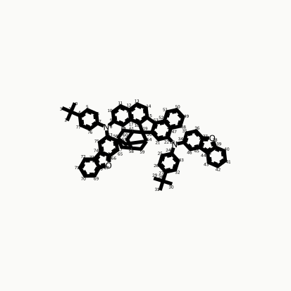 CC(C)(C)c1ccc(N(c2ccc3ccc4c(c3c2)C2(c3cc(N(c5ccc(C(C)(C)C)cc5)c5ccc6oc7ccccc7c6c5)c5ccccc5c3-4)C3CC4CC(C3)CC2C4)c2ccc3oc4ccccc4c3c2)cc1